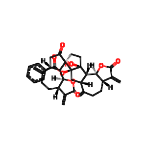 C=C1CC[C@H]2C(=C)C(=O)O[C@@H]2C2[C@H]1CC(=O)[C@]21CC[C@]2(O)[C@@H]3[C@H]4OC(=O)C(=C)[C@@H]4CCC(=C)[C@@H]3C[C@]12OC(=O)c1ccccc1